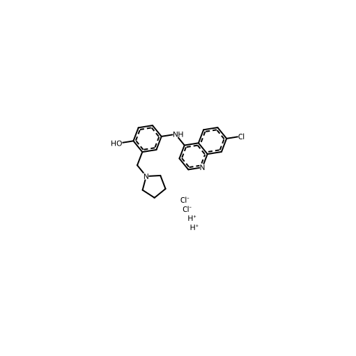 Oc1ccc(Nc2ccnc3cc(Cl)ccc23)cc1CN1CCCC1.[Cl-].[Cl-].[H+].[H+]